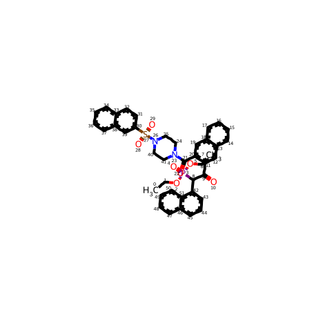 CCOP(=O)(OCC)C(C(=O)c1cc2ccccc2cc1C(=O)N1CCN(S(=O)(=O)c2ccc3ccccc3c2)CC1)c1cccc2ccccc12